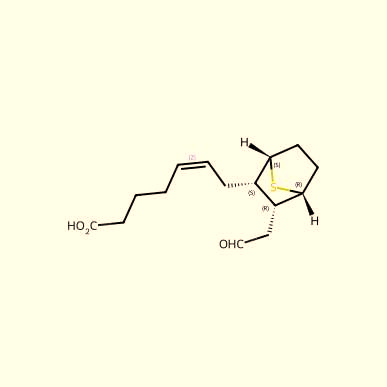 O=CC[C@@H]1[C@H](C/C=C\CCCC(=O)O)[C@@H]2CC[C@H]1S2